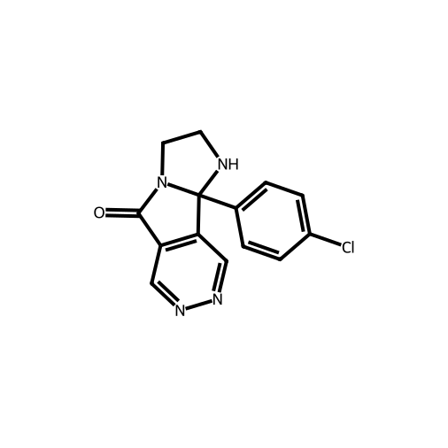 O=C1c2cnncc2C2(c3ccc(Cl)cc3)NCCN12